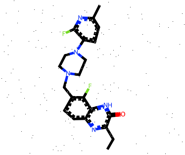 CCc1nc2ccc(CN3CCN(c4ccc(C)nc4F)CC3)c(F)c2[nH]c1=O